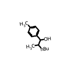 CCCCC(C)C(O)c1ccc(C)cc1